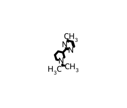 Cc1ccnc(C2CCCN(C(C)C)C2)n1